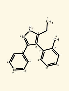 CCc1[nH]nc(-c2ccncc2)c1-c1ccccc1O